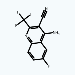 N#Cc1c(C(F)(F)F)nc2ccc(F)cc2c1N